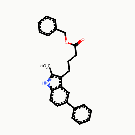 O=C(CCCc1c(C(=O)O)[nH]c2ccc(-c3ccccc3)cc12)OCc1ccccc1